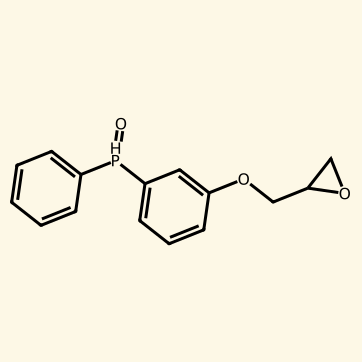 O=[PH](c1ccccc1)c1cccc(OCC2CO2)c1